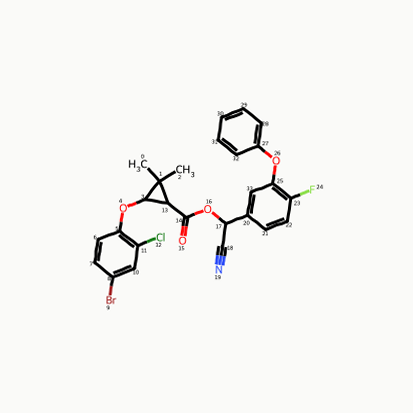 CC1(C)C(Oc2ccc(Br)cc2Cl)C1C(=O)OC(C#N)c1ccc(F)c(Oc2ccccc2)c1